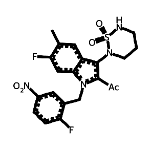 CC(=O)c1c(N2CCCNS2(=O)=O)c2cc(C)c(F)cc2n1Cc1cc([N+](=O)[O-])ccc1F